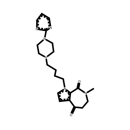 CN1CCC(=O)c2ccn(CCCCN3CCN(c4ncccn4)CC3)c2C1=O